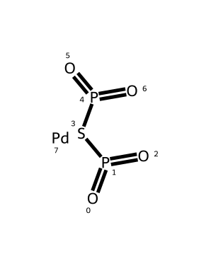 O=P(=O)SP(=O)=O.[Pd]